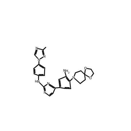 Cc1ncn(-c2ccc(Nc3nccc(-c4ccc(N5CCC6(CC5)OCCO6)c(N)c4)n3)cc2)n1